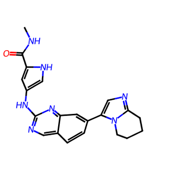 CNC(=O)c1cc(Nc2ncc3ccc(-c4cnc5n4CCCC5)cc3n2)c[nH]1